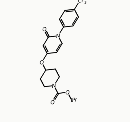 CC(C)OC(=O)N1CCC(Oc2ccn(-c3ccc(C(F)(F)F)cc3)c(=O)c2)CC1